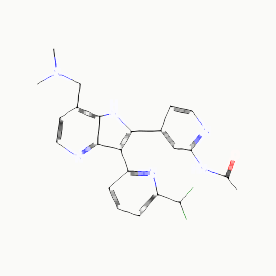 CC(=O)Nc1cc(-c2[nH]c3c(CN(C)C)ccnc3c2-c2cccc(C(F)F)n2)ccn1